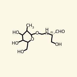 CC1C(OCN[C@H](C=O)CO)OC(CO)C(O)C1O